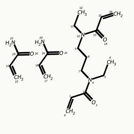 C=CC(=O)N(CC)CCCN(CC)C(=O)C=C.C=CC(N)=O.C=CC(N)=O